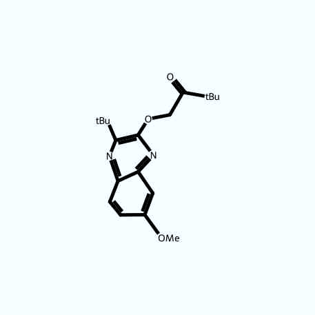 COc1ccc2nc(C(C)(C)C)c(OCC(=O)C(C)(C)C)nc2c1